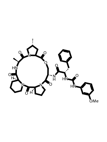 COc1cccc(NC(=O)N[C@@H](Cc2ccccc2)C(=O)N[C@H]2COC(=O)C3C[C@@H](C)CN3C(=O)[C@H](C)NC(=O)[C@@H]3CCCCN3C(=O)[C@@H]3CCCN3C2=O)c1